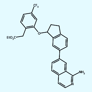 CCOC(=O)Cc1ccc(C(F)(F)F)cc1OC1CCc2ccc(-c3ccc4ccnc(N)c4c3)cc21